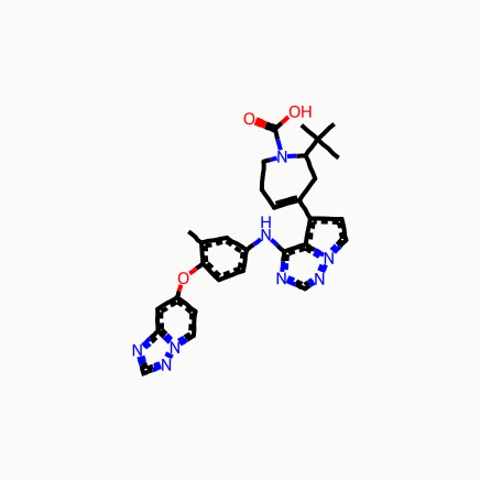 Cc1cc(Nc2ncnn3ccc(C4=CCCN(C(=O)O)C(C(C)(C)C)C4)c23)ccc1Oc1ccn2ncnc2c1